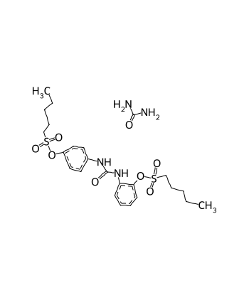 CCCCCS(=O)(=O)Oc1ccc(NC(=O)Nc2ccccc2OS(=O)(=O)CCCCC)cc1.NC(N)=O